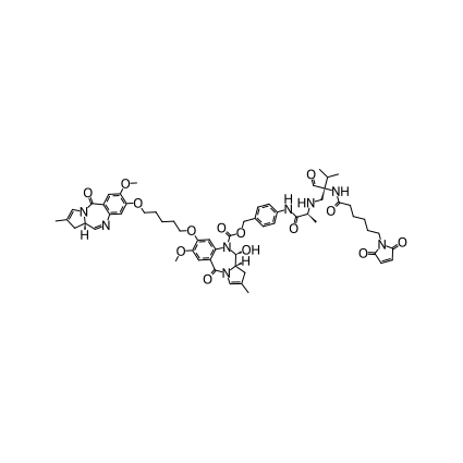 COc1cc2c(cc1OCCCCCOc1cc3c(cc1OC)C(=O)N1C=C(C)C[C@H]1[C@H](O)N3C(=O)OCc1ccc(NC(=O)[C@H](C)NC[C@](C=O)(NC(=O)CCCCCN3C(=O)C=CC3=O)C(C)C)cc1)N=C[C@@H]1CC(C)=CN1C2=O